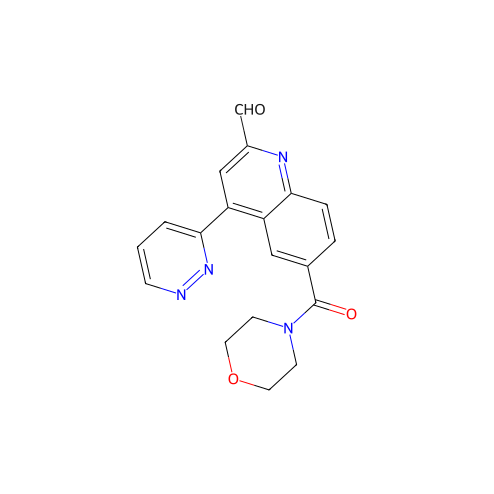 O=Cc1cc(-c2cccnn2)c2cc(C(=O)N3CCOCC3)ccc2n1